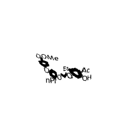 CCCc1cc(Oc2ccc(C(=O)OC)cc2)ccc1OCCCOc1cc(O)c(C(C)=O)cc1CC